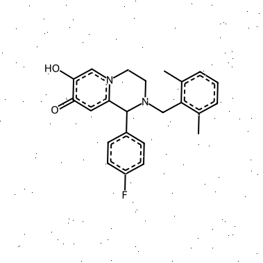 Cc1cccc(C)c1CN1CCn2cc(O)c(=O)cc2C1c1ccc(F)cc1